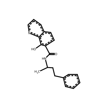 CC(CCc1ccccc1)NC(=O)c1ccc2cccnc2c1O